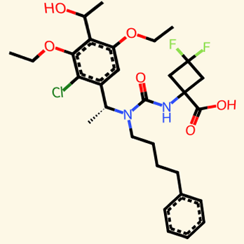 CCOc1cc([C@@H](C)N(CCCCc2ccccc2)C(=O)NC2(C(=O)O)CC(F)(F)C2)c(Cl)c(OCC)c1C(C)O